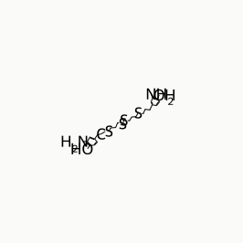 Nc1cc(CCCSCCCSSCCCSCCCc2ccc(O)c(N)c2)ccc1O